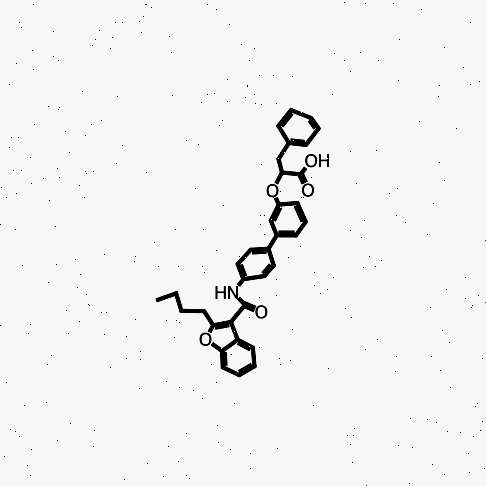 CCCCc1oc2ccccc2c1C(=O)Nc1ccc(-c2cccc(OC(Cc3ccccc3)C(=O)O)c2)cc1